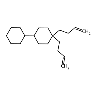 C=CCCC1(CCC=C)CCC(C2CCCCC2)CC1